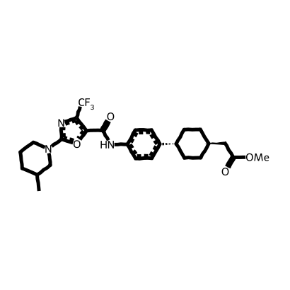 COC(=O)C[C@H]1CC[C@H](c2ccc(NC(=O)c3oc(N4CCCC(C)C4)nc3C(F)(F)F)cc2)CC1